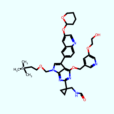 C[Si](C)(C)CCOCn1cc(-c2ccc3ncc(OC4CCCCO4)cc3c2)c2c(OCc3cncc(OCCO)c3)nc(C3(CNC=O)CC3)nc21